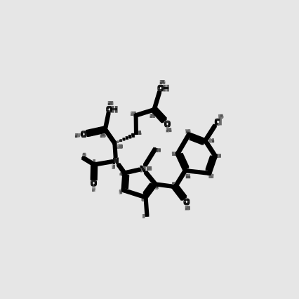 CC(=O)N(c1cc(C)c(C(=O)c2ccc(Cl)cc2)n1C)[C@@H](CCC(=O)O)C(=O)O